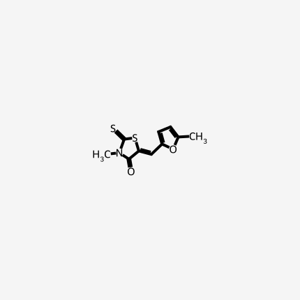 Cc1ccc(/C=C2\SC(=S)N(C)C2=O)o1